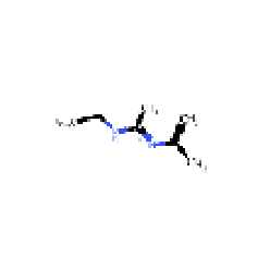 C=C(C)/N=C(\C)NCC